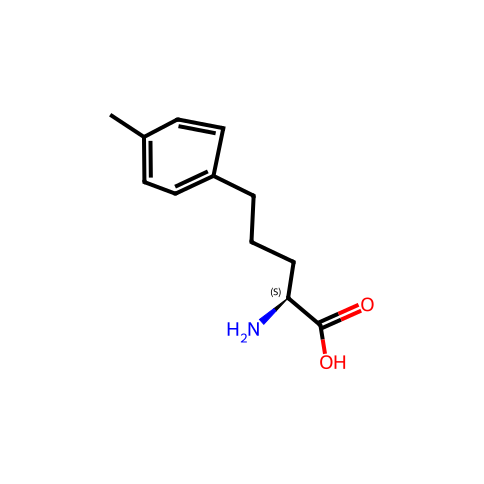 Cc1ccc(CCC[C@H](N)C(=O)O)cc1